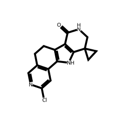 O=C1NCC2(CC2)c2[nH]c3c(c21)CCc1cnc(Cl)cc1-3